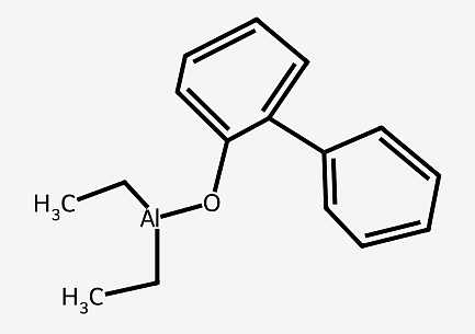 C[CH2][Al]([CH2]C)[O]c1ccccc1-c1ccccc1